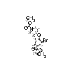 CCOC(=O)N1CCC(Oc2ccc(S(=O)(=O)CC)cc2Br)CC1